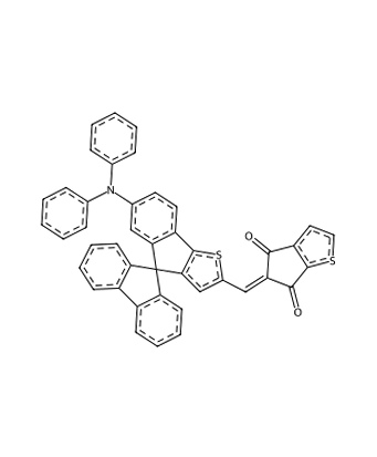 O=C1/C(=C\c2cc3c(s2)-c2ccc(N(c4ccccc4)c4ccccc4)cc2C32c3ccccc3-c3ccccc32)C(=O)c2sccc21